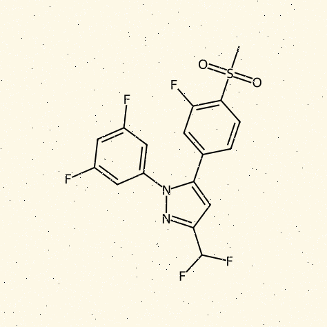 CS(=O)(=O)c1ccc(-c2cc(C(F)F)nn2-c2cc(F)cc(F)c2)cc1F